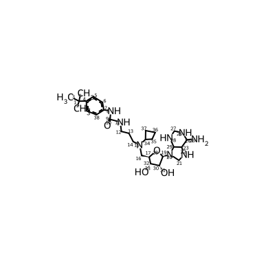 CC(C)(C)c1ccc(NC(=O)NCCCN(C[C@H]2O[C@@H](N3CNC4C(N)NCNC43)[C@H](O)[C@@H]2O)C2CCC2)cc1